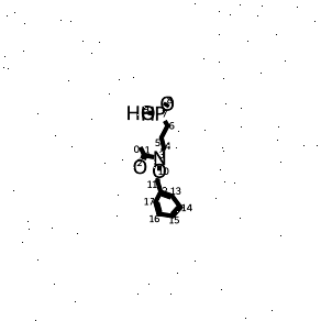 CC(=O)N(CCC[PH](=O)O)OCc1ccccc1